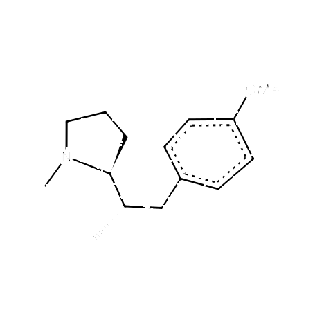 COc1ccc(C[C@H](C)[C@@H]2CCCN2C)cc1